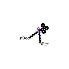 CCCCCCCCCCCCCCCCCCN(CCCCCCCCCCCCCCCCCC)C(=O)C=CC(c1ccccc1)(c1ccccc1)c1ccccc1